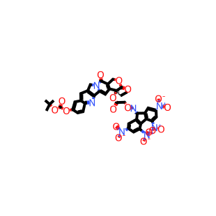 CC[C@@]1(OC(=O)CON=C2c3cc([N+](=O)[O-])cc([N+](=O)[O-])c3-c3c2cc([N+](=O)[O-])cc3[N+](=O)[O-])C(=O)OCc2c1cc1n(c2=O)Cc2cc3cc(OC(=O)OC(C)(C)C)ccc3nc2-1